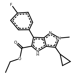 CCOC(=O)c1[nH]c2c(C3CC3)n(C)nc2c1-c1ccc(F)cc1